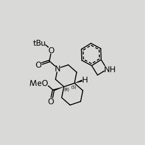 COC(=O)[C@]12CCCC[C@H]1CCN(C(=O)OC(C)(C)C)C2.c1ccc2c(c1)CN2